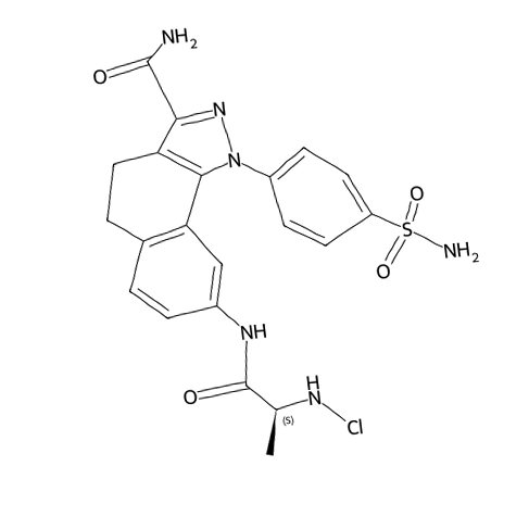 C[C@H](NCl)C(=O)Nc1ccc2c(c1)-c1c(c(C(N)=O)nn1-c1ccc(S(N)(=O)=O)cc1)CC2